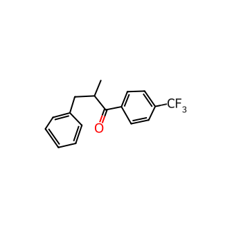 CC(Cc1ccccc1)C(=O)c1ccc(C(F)(F)F)cc1